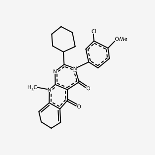 COc1ccc(-n2c(C3CCCCC3)nc3c(c(=O)c4c(n3C)=CCCC=4)c2=O)cc1Cl